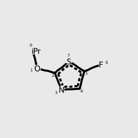 CC(C)Oc1ncc(F)s1